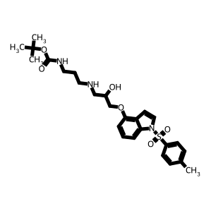 Cc1ccc(S(=O)(=O)n2ccc3c(OCC(O)CNCCCNC(=O)OC(C)(C)C)cccc32)cc1